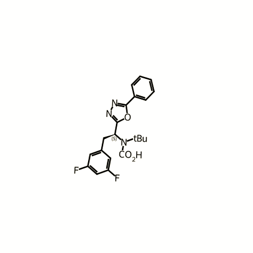 CC(C)(C)N(C(=O)O)[C@@H](Cc1cc(F)cc(F)c1)c1nnc(-c2ccccc2)o1